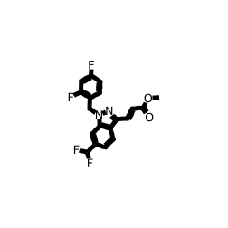 COC(=O)/C=C/c1nn(Cc2ccc(F)cc2F)c2cc(C(F)F)ccc12